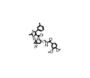 COc1ccc(C(=O)NC[C@@H]2C[C@H]3C[C@@H]3N2C(=O)c2nc(C)sc2-c2cccc(C)c2)cc1OC